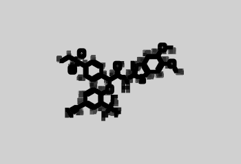 CCS(=O)(=O)c1ccc(C(Oc2ccc(C#N)cc2C(F)(F)F)C(=O)Nc2nc3cc(OC)c(OC)cc3s2)cc1